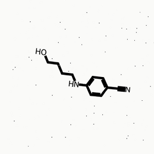 N#Cc1ccc(NCCCCO)cc1